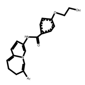 CC(=O)C1=CN2C=C(NC(=O)c3ccc(OCCO)cc3)C=CC2=CCC1